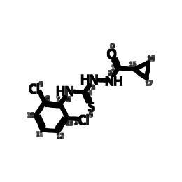 O=C(NNC(=S)Nc1c(Cl)cccc1Cl)C1CC1